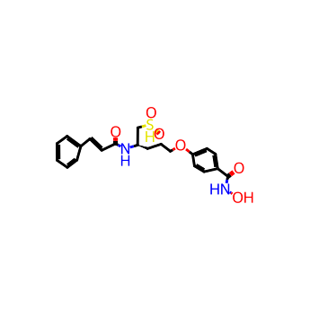 O=C(/C=C/c1ccccc1)N[C@H](CCCOc1ccc(C(=O)NO)cc1)C[SH](=O)=O